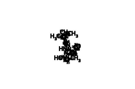 COc1cc(-n2cnc(Nc3nc(N4CCC[C@H]4CO)c4c(C)nn(C5CCOC5)c4n3)c2)cc(C)c1C